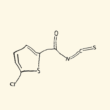 O=C(N=C=S)c1ccc(Cl)s1